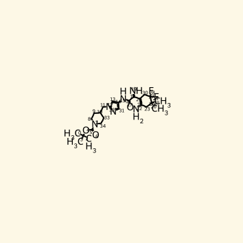 CC(C)(C)OC(=O)N1CCC(Cn2cc(NC(=O)C(=N)C3=C(N)CC(C)(C)C(F)(F)C3)cn2)CC1